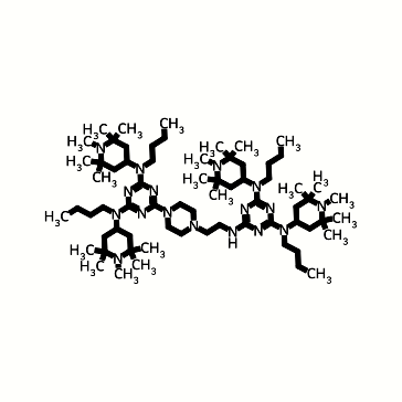 CCCCN(c1nc(NCCN2CCN(c3nc(N(CCCC)C4CC(C)(C)N(C)C(C)(C)C4)nc(N(CCCC)C4CC(C)(C)N(C)C(C)(C)C4)n3)CC2)nc(N(CCCC)C2CC(C)(C)N(C)C(C)(C)C2)n1)C1CC(C)(C)N(C)C(C)(C)C1